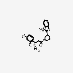 N[C@@H](CC(=O)N1CCCC(c2nc3ccccc3[nH]2)C1)c1ccc(Cl)cc1Cl